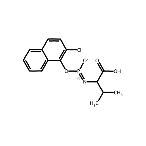 CC(C)C(/N=[P+](\[O-])Oc1c(Cl)ccc2ccccc12)C(=O)O